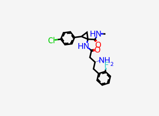 CNC(=O)C1(NC(=O)C[C@H](N)Cc2ccccc2F)CC1c1ccc(Cl)cc1